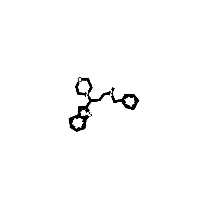 CN(CCC(c1cc2ccccc2s1)N1CCOCC1)Cc1ccccc1